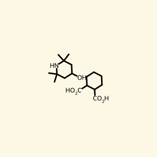 CC1(C)CC(O)CC(C)(C)N1.O=C(O)C1CCCCC1C(=O)O